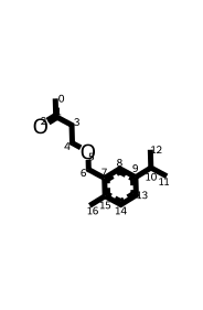 CC(=O)CCOCc1cc(C(C)C)ccc1C